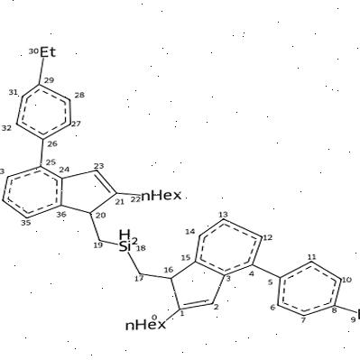 CCCCCCC1=Cc2c(-c3ccc(CC)cc3)cccc2C1C[SiH2]CC1C(CCCCCC)=Cc2c(-c3ccc(CC)cc3)cccc21